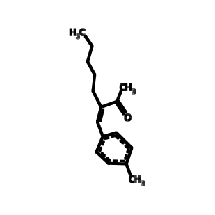 CCCCCC(=Cc1ccc(C)cc1)C(C)=O